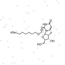 CCCCCCCCCCCCCCCCOC(CC)[C@@]1(n2ccc(=O)[nH]c2=O)O[C@H](CO)[C@@H](O)C1F